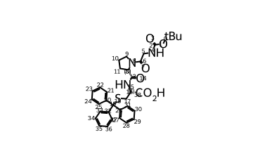 CC(C)(C)OC(=O)NCC(=O)N1CCC[C@H]1C(=O)N[C@@H](CSC(c1ccccc1)(c1ccccc1)c1ccccc1)C(=O)O